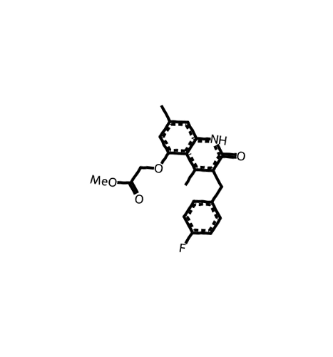 COC(=O)COc1cc(C)cc2[nH]c(=O)c(Cc3ccc(F)cc3)c(C)c12